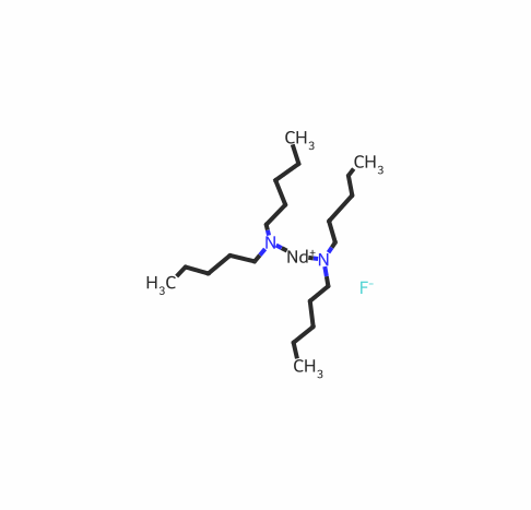 CCCCC[N](CCCCC)[Nd+][N](CCCCC)CCCCC.[F-]